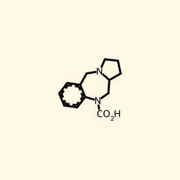 O=C(O)N1CC2CCCN2Cc2ccccc21